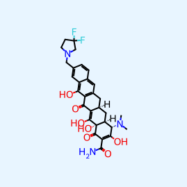 CN(C)[C@@H]1C(O)=C(C(N)=O)C(=O)[C@@]2(O)C(O)=C3C(=O)c4c(cc5ccc(CN6CCC(F)(F)C6)cc5c4O)C[C@H]3C[C@@H]12